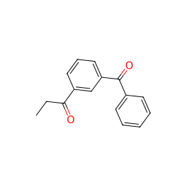 CCC(=O)c1cccc(C(=O)c2ccccc2)c1